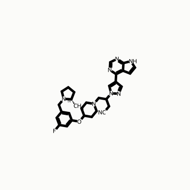 C[C@H]1CCCN1Cc1cc(F)cc(OC2CCN(CC(CC#N)n3cc(-c4ncnc5[nH]ccc45)cn3)CC2)c1